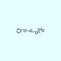 CC(=O)OC(C)OCCOCCOCc1ccccc1